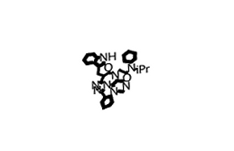 CC(C)N(C(=O)CN1C(=O)C(Cc2c[nH]c3ccccc23)c2nnc(-c3ccccc3)n2-c2ncncc21)c1ccccc1